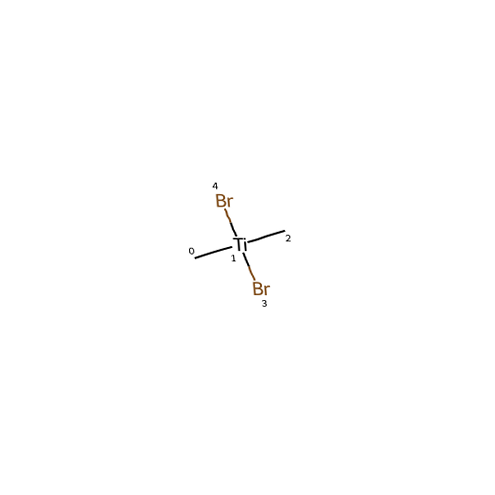 [CH3][Ti]([CH3])([Br])[Br]